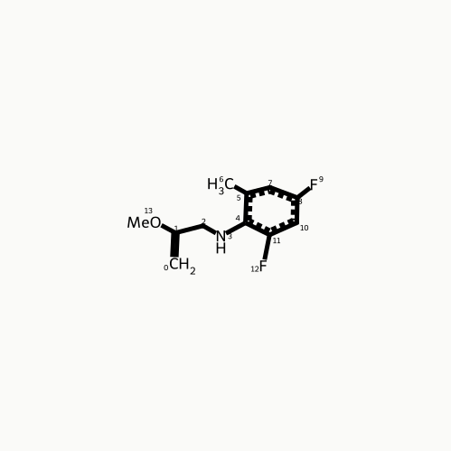 C=C(CNc1c(C)cc(F)cc1F)OC